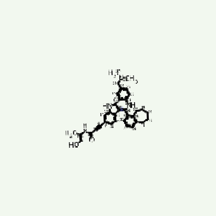 C[C@H](CO)NC(=O)C#Cc1ccc2c(c1)NC(=O)/C2=C(\Nc1ccc(CN(C)C)cc1)c1cccc2c1CCCCC2